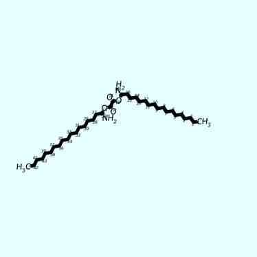 CCCCCCCCCCCCCCCCCC(N)OC(=O)C(=O)OC(N)CCCCCCCCCCCCCCCCC